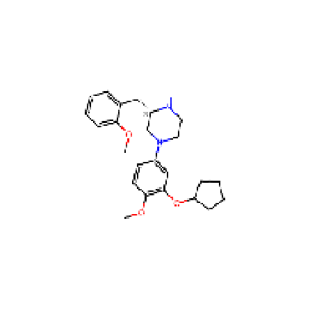 COc1ccccc1C[C@H]1CN(c2ccc(OC)c(OC3CCCC3)c2)CCN1